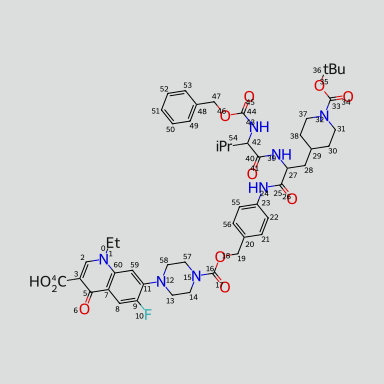 CCn1cc(C(=O)O)c(=O)c2cc(F)c(N3CCN(C(=O)OCc4ccc(NC(=O)C(CC5CCN(C(=O)OC(C)(C)C)CC5)NC(=O)C(NC(=O)OCc5ccccc5)C(C)C)cc4)CC3)cc21